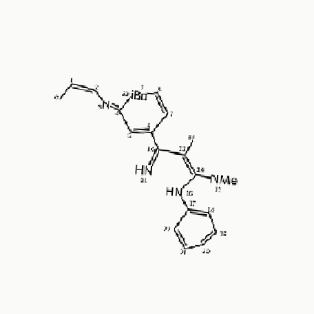 C\C=C/N=C(/C=C(\C=C/C)C(=N)/C(C)=C(/NC)Nc1ccccc1)C(C)CC